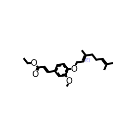 CCOC(=O)C=Cc1ccc(OC/C=C(\C)CCC=C(C)C)c(OC)c1